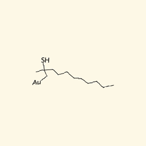 CCCCCCCCCC(C)(S)[CH2][Au]